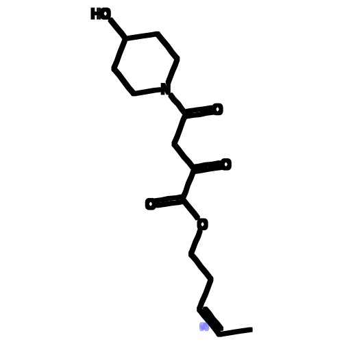 C/C=C\CCOC(=O)C(=O)CC(=O)N1CCC(O)CC1